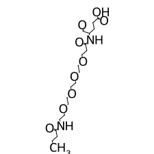 CCCC(=O)NCCOCCOCCOCCOCCC(=O)NC(C=O)CCC(=O)O